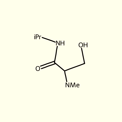 CNC(CO)C(=O)NC(C)C